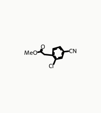 COC(=O)Cc1ccc(C#N)cc1Cl